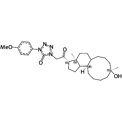 COc1ccc(-n2nnn(CC(=O)[C@H]3CCC4[C@@H]5CCCC[C@](C)(O)CCCC5CC[C@@]43C)c2=O)cc1